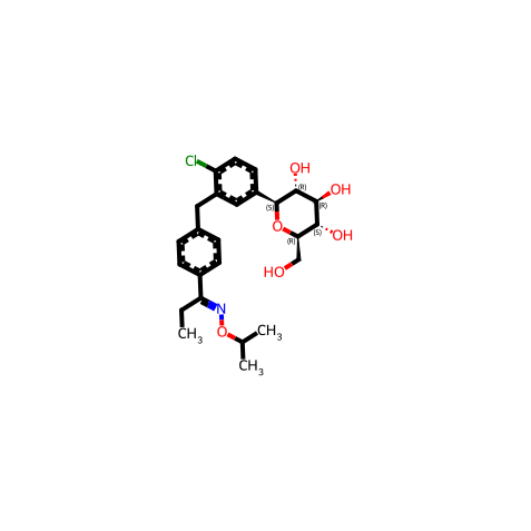 CCC(=NOC(C)C)c1ccc(Cc2cc([C@@H]3O[C@H](CO)[C@@H](O)[C@H](O)[C@H]3O)ccc2Cl)cc1